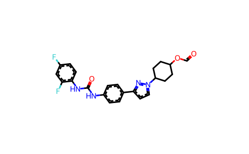 O=COC1CCC(n2ccc(-c3ccc(NC(=O)Nc4ccc(F)cc4F)cc3)n2)CC1